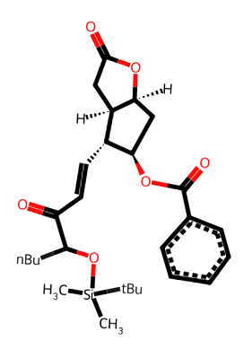 CCCCC(O[Si](C)(C)C(C)(C)C)C(=O)/C=C/[C@@H]1[C@H]2CC(=O)O[C@H]2C[C@H]1OC(=O)c1ccccc1